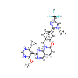 COc1ncnc(C2CC2)c1-c1ncc2ccc(=O)n(CC34CCC(c5nc(C(F)(F)F)cn5C)(CC3)CC4)c2n1